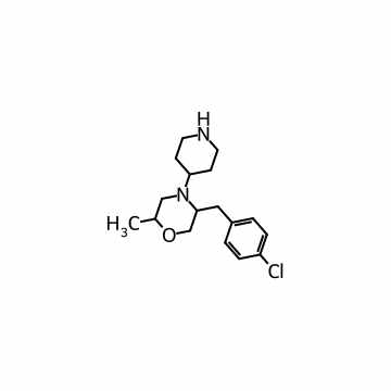 CC1CN(C2CCNCC2)C(Cc2ccc(Cl)cc2)CO1